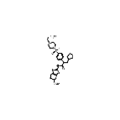 COc1ccc2nc(NC(=O)C(CC3CCCC3)c3ccc(S(=O)(=O)N4CCN(CC(=O)O)CC4)cc3)sc2n1